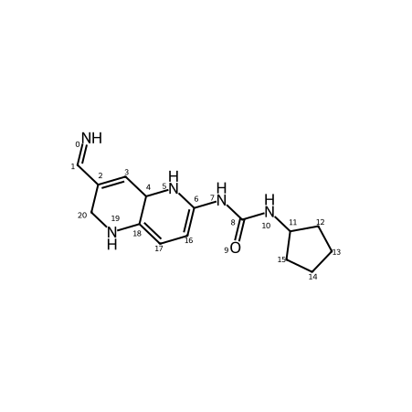 N=CC1=CC2NC(NC(=O)NC3CCCC3)=CC=C2NC1